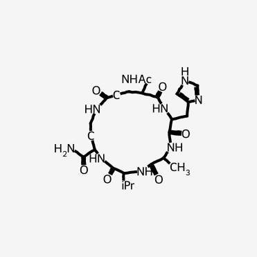 CC(=O)NC1CCC(=O)NCCC(C(N)=O)NC(=O)C(C(C)C)NC(=O)C(C)NC(=O)C(Cc2c[nH]cn2)NC1=O